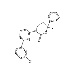 CC1(c2ccccc2)CCN(c2ccnc(-c3cccc(Cl)c3)n2)C(=O)O1